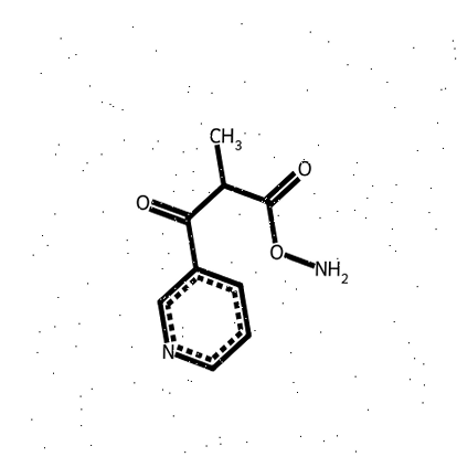 CC(C(=O)ON)C(=O)c1cccnc1